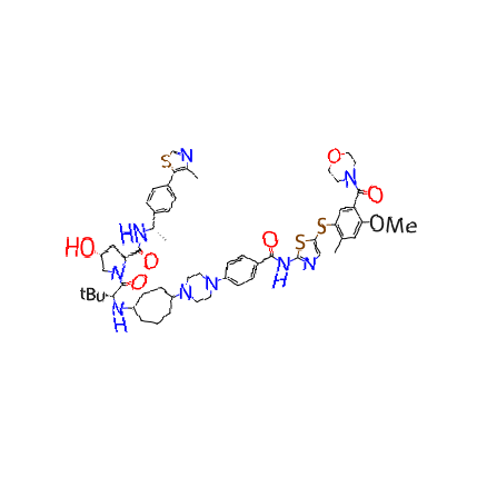 COc1cc(C)c(Sc2cnc(NC(=O)c3ccc(N4CCN(C5CCCC(N[C@H](C(=O)N6C[C@H](O)C[C@H]6C(=O)N[C@@H](C)c6ccc(-c7scnc7C)cc6)C(C)(C)C)CC5)CC4)cc3)s2)cc1C(=O)N1CCOCC1